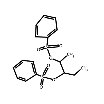 CCC(OS(=O)(=O)c1ccccc1)C(C)OS(=O)(=O)c1ccccc1